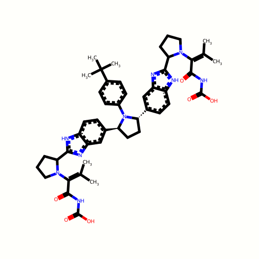 CC(C)=C(C(=O)NC(=O)O)N1CCCC1c1nc2cc([C@@H]3CC[C@@H](c4ccc5[nH]c(C6CCCN6C(C(=O)NC(=O)O)=C(C)C)nc5c4)N3c3ccc(C(C)(C)C)cc3)ccc2[nH]1